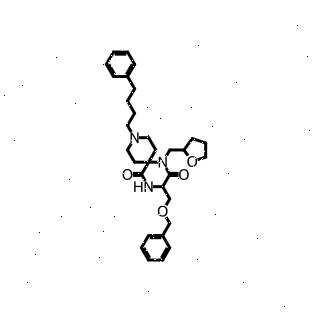 O=C1C(COCc2ccccc2)NC(=O)C2(CCN(CCCCc3ccccc3)CC2)N1CC1CCCO1